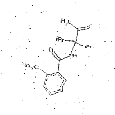 CC(C)C(NC(=O)c1ccccc1C(=O)O)(C(N)=O)C(C)C